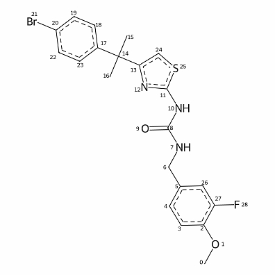 COc1ccc(CNC(=O)Nc2nc(C(C)(C)c3ccc(Br)cc3)cs2)cc1F